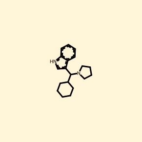 c1ccc2c(C(C3CCCCC3)N3CCCC3)c[nH]c2c1